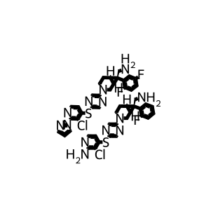 NC[C@]1(c2cc(F)ccc2F)[C@@H]2CCN(c3cnc(Sc4ccnc(-n5cccn5)c4Cl)cn3)C[C@@H]21.NC[C@]1(c2ccccc2F)[C@@H]2CCN(c3cnc(Sc4ccnc(N)c4Cl)cn3)C[C@@H]21